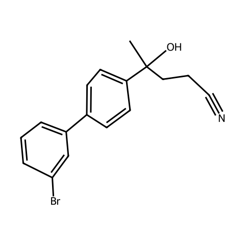 CC(O)(CCC#N)c1ccc(-c2cccc(Br)c2)cc1